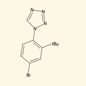 CC(C)(C)c1cc(Br)ccc1-n1cnnn1